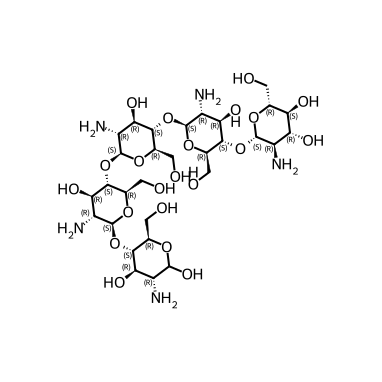 N[C@H]1[C@H](O[C@H]2[C@H](O)[C@@H](N)[C@H](O[C@H]3[C@H](O)[C@@H](N)[C@H](O[C@H]4[C@H](O)[C@@H](N)[C@H](O[C@H]5[C@H](O)[C@@H](N)C(O)O[C@@H]5CO)O[C@@H]4CO)O[C@@H]3CO)O[C@@H]2CO)O[C@H](CO)[C@@H](O)[C@@H]1O